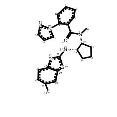 CN(C(=O)c1ccccc1-n1cccn1)[C@@H]1CCC[C@@H]1Nc1nc2ccc(F)cc2s1